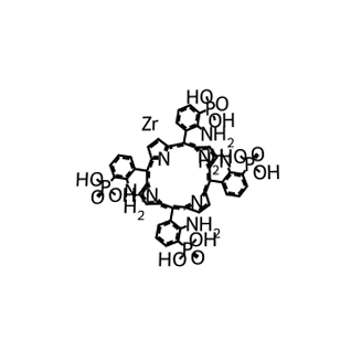 Nc1c(-c2c3nc(c(-c4cccc(P(=O)(O)O)c4N)c4ccc([nH]4)c(-c4cccc(P(=O)(O)O)c4N)c4nc(c(-c5cccc(P(=O)(O)O)c5N)c5ccc2[nH]5)C=C4)C=C3)cccc1P(=O)(O)O.[Zr]